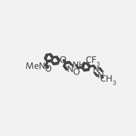 CNC(=O)c1cccc2cc(Oc3ccnc(NC(=O)c4ccc(CN5CCN(C)CC5)c(C(F)(F)F)c4)c3)ccc12